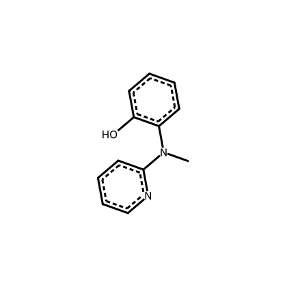 CN(c1ccccn1)c1ccccc1O